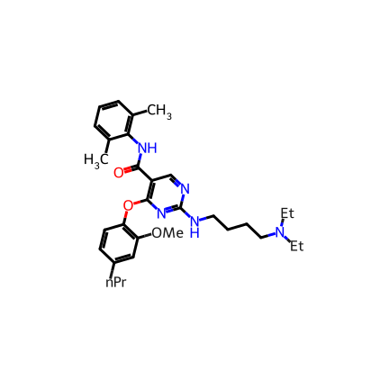 CCCc1ccc(Oc2nc(NCCCCN(CC)CC)ncc2C(=O)Nc2c(C)cccc2C)c(OC)c1